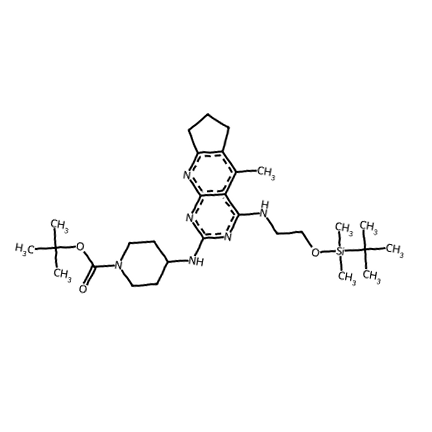 Cc1c2c(nc3nc(NC4CCN(C(=O)OC(C)(C)C)CC4)nc(NCCO[Si](C)(C)C(C)(C)C)c13)CCC2